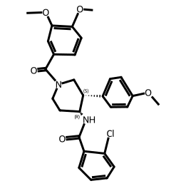 COc1ccc([C@H]2CN(C(=O)c3ccc(OC)c(OC)c3)CC[C@H]2NC(=O)c2ccccc2Cl)cc1